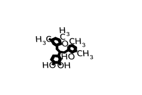 Cc1cc(C)c2c(c1)CC(c1ccc(O)c(O)c1)Cc1c(O)c(C)cc(C)c1O2